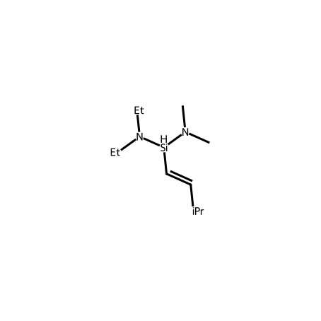 CCN(CC)[SiH](C=CC(C)C)N(C)C